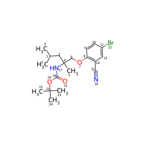 CC(C)CC(C)(COc1ccc(Br)cc1C#N)NC(=O)OC(C)(C)C